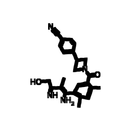 C/C(C(=N)CO)=C(/N)c1cc(C(=O)N2CC(c3ccc(C#N)cc3)C2)c(C)cc1C